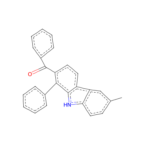 Cc1ccc2[nH]c3c(-c4ccccc4)c(C(=O)c4ccccc4)ccc3c2c1